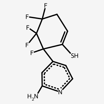 Nc1cc(C2(F)C(S)=CCC(F)(F)C2(F)F)ccn1